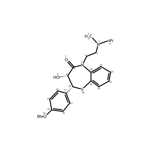 CCCN(C)CCN1C(=O)[C@@H](O)[C@@H](c2ccc(OC)cc2)Sc2ccccc21